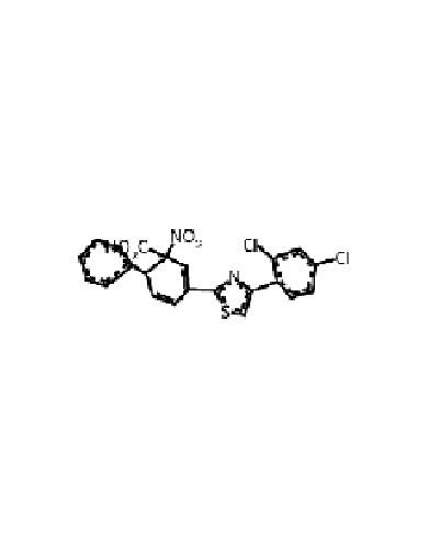 O=C(O)C1([N+](=O)[O-])C=C(c2nc(-c3ccc(Cl)cc3Cl)cs2)C=CC1c1ccccc1